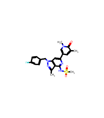 Cc1cc(-c2cc3c(c(C)nn3Cc3ccc(F)cc3)c(NS(C)(=O)=O)n2)cn(C)c1=O